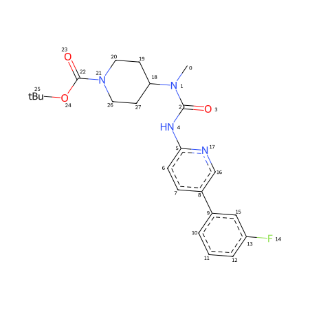 CN(C(=O)Nc1ccc(-c2cccc(F)c2)cn1)C1CCN(C(=O)OC(C)(C)C)CC1